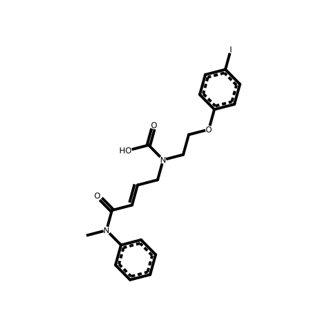 CN(C(=O)/C=C/CN(CCOc1ccc(I)cc1)C(=O)O)c1ccccc1